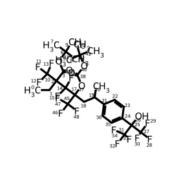 CCC(C(=O)OC(C)(C)C)(C(F)(F)F)C(F)(F)C(CC(C)c1ccc(C(O)(C(F)(F)F)C(F)(F)F)cc1)(OC(=O)OC(C)(C)C)C(F)(F)F